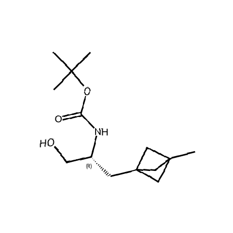 CC12CC(C[C@H](CO)NC(=O)OC(C)(C)C)(C1)C2